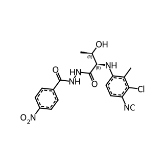 [C-]#[N+]c1ccc(N[C@@H](C(=O)NNC(=O)c2ccc([N+](=O)[O-])cc2)[C@@H](C)O)c(C)c1Cl